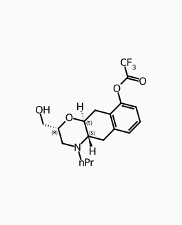 CCCN1C[C@H](CO)O[C@H]2Cc3c(cccc3OC(=O)C(F)(F)F)C[C@@H]21